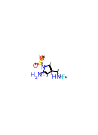 Nc1cc(CNF)cn1[SH](=O)=O